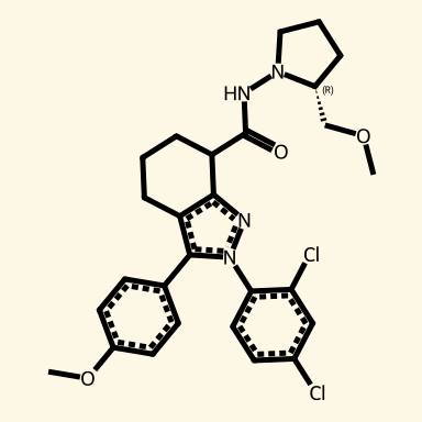 COC[C@H]1CCCN1NC(=O)C1CCCc2c1nn(-c1ccc(Cl)cc1Cl)c2-c1ccc(OC)cc1